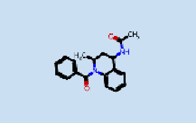 CC(=O)NC1CC(C)N(C(=O)c2ccccc2)c2ccccc21